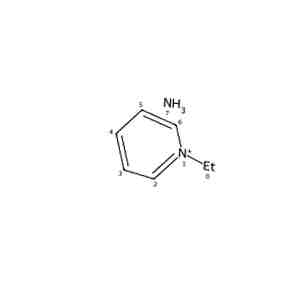 CC[n+]1ccccc1.N